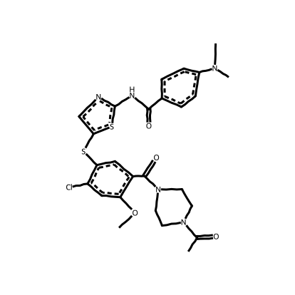 COc1cc(Cl)c(Sc2cnc(NC(=O)c3ccc(N(C)C)cc3)s2)cc1C(=O)N1CCN(C(C)=O)CC1